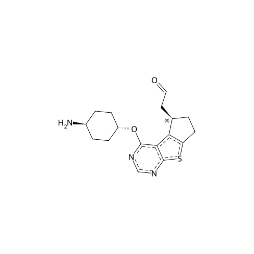 N[C@H]1CC[C@H](Oc2ncnc3sc4c(c23)[C@@H](CC=O)CC4)CC1